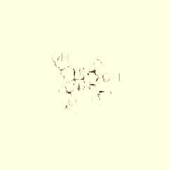 COC(=O)c1nc([C@]2(N(C)C(=O)OC(C)(C)C)CCC(CO)OC2)[nH]c(=O)c1O